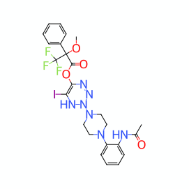 COC(C(=O)OC1=C(I)NN(N2CCN(c3ccccc3NC(C)=O)CC2)N=N1)(c1ccccc1)C(F)(F)F